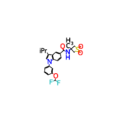 CC(C)c1cn(-c2cccc(OC(F)F)c2)c2ccc(C(=O)NC3(C)CS(=O)(=O)C3)cc12